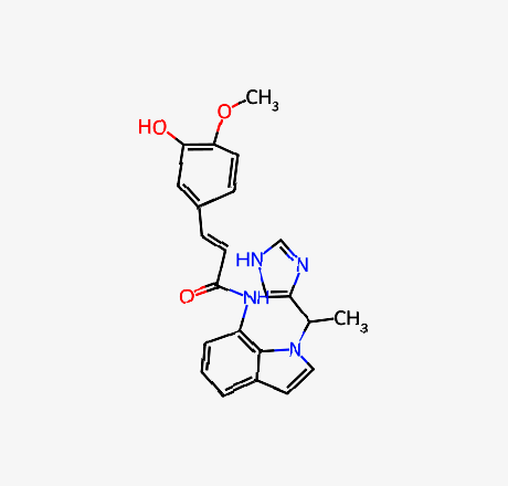 COc1ccc(C=CC(=O)Nc2cccc3ccn(C(C)c4c[nH]cn4)c23)cc1O